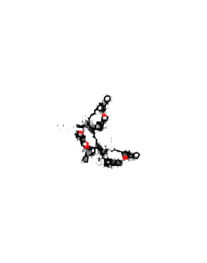 COCN(c1nc(NCCCCC2CC(C)(C)N(OC3CCCCC3)C(C)(C)C2)nc(N(CCCCCCN(c2nc(NCCCCC3CC(C)(C)N(OC4CCCCC4)C(C)(C)C3)nc(N(COC)C3CC(C)(C)N(OC4CCCCC4)C(C)(C)C3)n2)C2CC(C)(C)N(OC3CCCCC3)C(C)(C)C2)C2CC(C)(C)N(OC3CCCCC3)C(C)(C)C2)n1)C1CC(C)(C)N(OC2CCCCC2)C(C)(C)C1